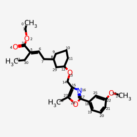 CCOC(=O)/C(=C/CC1CCCC(OCc2nc(-c3cccc(OC)c3)oc2C)C1)CC